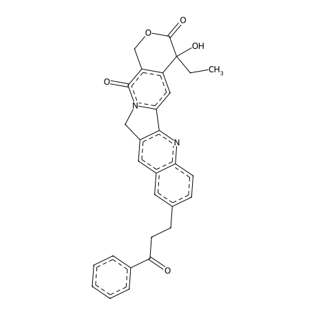 CCC1(O)C(=O)OCc2c1cc1n(c2=O)Cc2cc3cc(CCC(=O)c4ccccc4)ccc3nc2-1